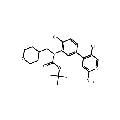 CC(C)(C)OC(=O)N(CC1CCOCC1)c1cc(-c2cc(N)ncc2Cl)ccc1Cl